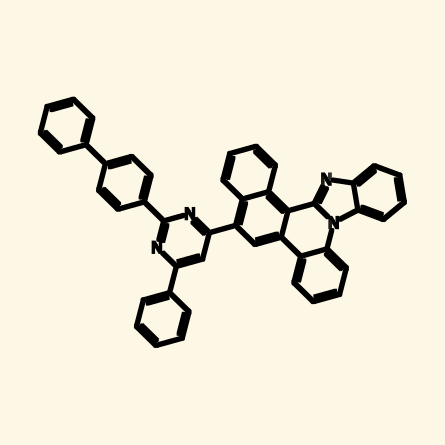 c1ccc(-c2ccc(-c3nc(-c4ccccc4)cc(-c4cc5c6ccccc6n6c7ccccc7nc6c5c5ccccc45)n3)cc2)cc1